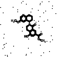 COC(=O)c1cc(O)c2c(c1)C(=O)N([C@H]1CCCc3ncc(OC)cc31)CC2